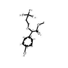 COC(=O)C(SCCC(F)(F)F)c1ccc(Cl)cc1